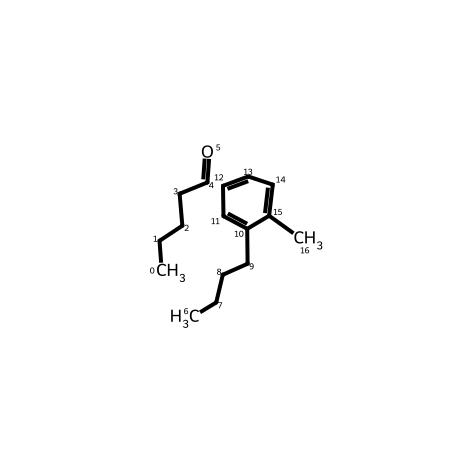 CCCCC=O.CCCCc1ccccc1C